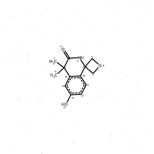 CC1(C)C(=O)NC2(COC2)c2ccc(O)cc21